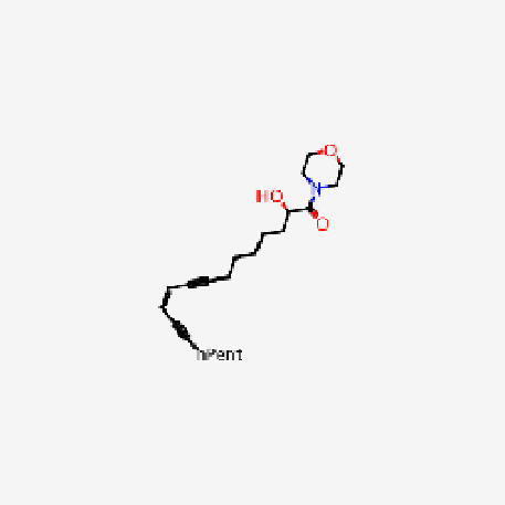 CCCCCC#C/C=C\C#CCCCCCC(O)C(=O)N1CCOCC1